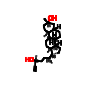 C#C[C@@](C)(O)CC[C@@H](C)[C@H]1CC[C@H]2[C@@H]3CC[C@H]4C[C@@](C)(O)CC[C@]4(C)[C@H]3CC[C@]12C